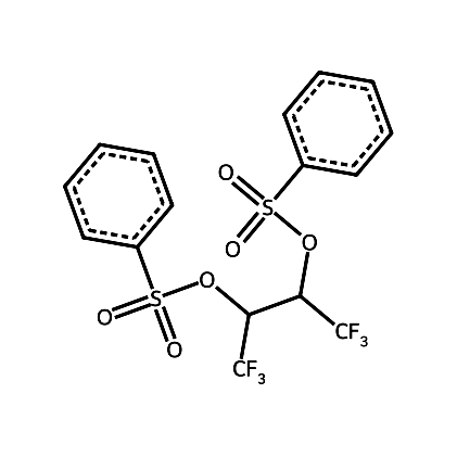 O=S(=O)(OC(C(OS(=O)(=O)c1ccccc1)C(F)(F)F)C(F)(F)F)c1ccccc1